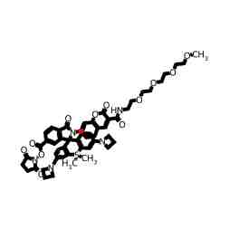 COCCOCCOCCOCCNC(=O)c1cc2ccc(N3C(=O)c4ccc(C(=O)ON5C(=O)CCC5=O)cc4C34c3ccc(N5CCC5)cc3S(C)(C)c3cc(N5CCC5)ccc34)cc2oc1=O